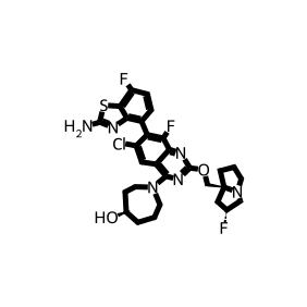 Nc1nc2c(-c3c(Cl)cc4c(N5CCC[C@@H](O)CC5)nc(OC[C@@]56CCCN5C[C@H](F)C6)nc4c3F)ccc(F)c2s1